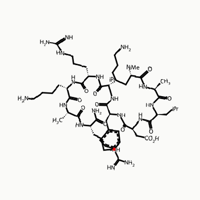 CN[C@@H](CC(C)C)C(=O)N[C@@H](C)C(=O)N[C@@H](CC(C)C)C(=O)N[C@@H](CC(=O)O)C(=O)N[C@@H](Cc1ccccc1)C(=O)N[C@@H](CCCCN)C(=O)N[C@@H](CCCNC(=N)N)C(=O)N[C@@H](CCCCN)C(=O)N[C@@H](C)C(=O)N[C@@H](CCCNC(=N)N)C(N)=O